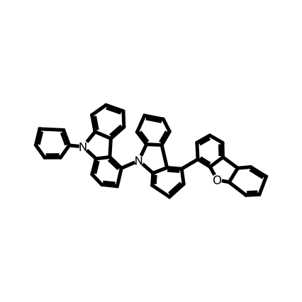 C1=CC2Oc3c(-c4cccc5c4c4ccccc4n5-c4cccc5c4c4ccccc4n5-c4ccccc4)cccc3C2C=C1